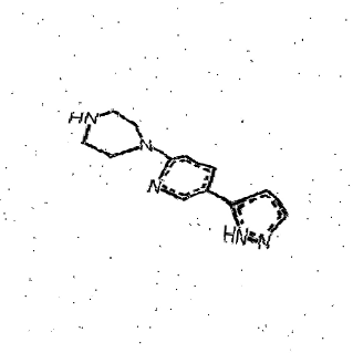 c1cc(-c2ccc(N3CCNCC3)nc2)[nH]n1